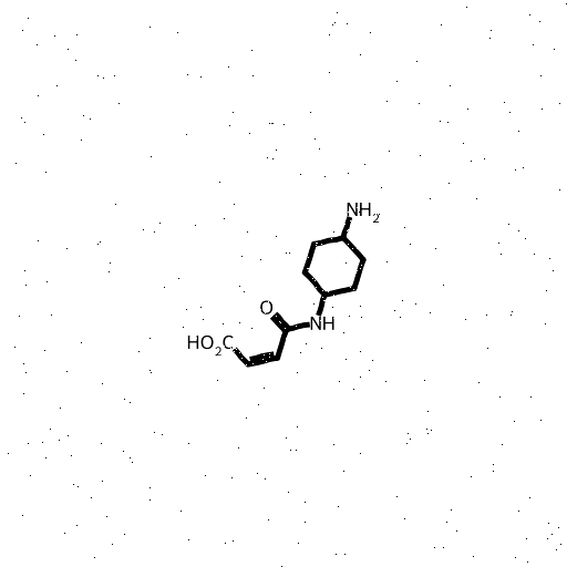 NC1CCC(NC(=O)/C=C\C(=O)O)CC1